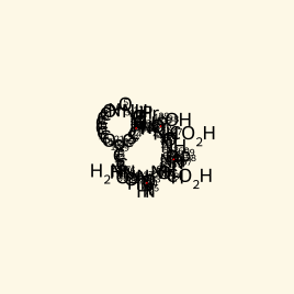 CC(C)C[C@@H]1NC(=O)/C=N/OCCCCCCOc2cc3cc(c2)CSC[C@H](NC1=O)C(=O)NC(Cc1ccc(O)cc1)C(=O)N[C@@H](CCC(=O)O)C(=O)N[C@@H](Cc1c[nH]c2ccccc12)C(=O)N[C@H](CCC(=O)O)C(=O)N[C@@H](Cc1cnc[nH]1)C(=O)N[C@@H](C)C(=O)N[C@H](C(N)=O)CSC3